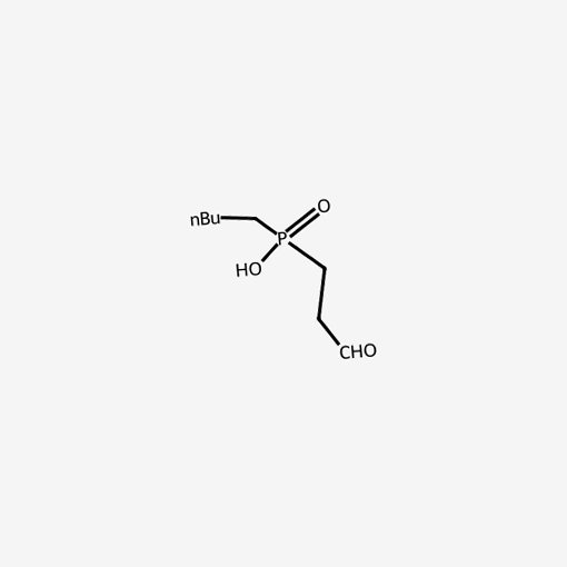 CCCCCP(=O)(O)CCC=O